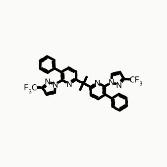 CC(C)(c1ccc(-c2ccccc2)c(-n2ccc(C(F)(F)F)n2)n1)c1ccc(-c2ccccc2)c(-n2ccc(C(F)(F)F)n2)n1